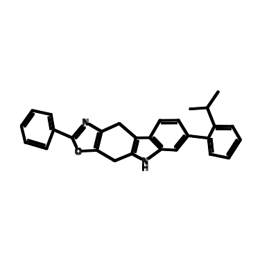 CC(C)c1ccccc1-c1ccc2c3c([nH]c2c1)Cc1oc(-c2ccccc2)nc1C3